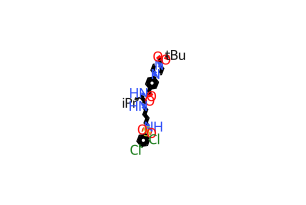 CC(C)C[C@@H](NC(=O)c1ccc(N2CCN(C(=O)OC(C)(C)C)CC2)cc1)C(=O)NCCCCNS(=O)(=O)c1ccc(Cl)cc1Cl